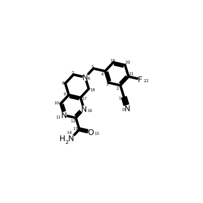 N#Cc1cc(CN2CCc3[c]nc(C(N)=O)nc3C2)ccc1F